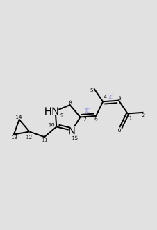 C=C(C)/C=C(C)\C=C1/CNC(CC2CC2)=N1